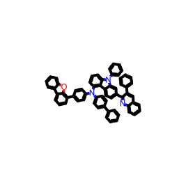 c1ccc(-c2ccc(N(c3ccc(-c4cccc5c4oc4ccccc45)cc3)c3cccc4c3c3ccc(-c5nc6ccccc6cc5-c5ccccc5)cc3n4-c3ccccc3)cc2)cc1